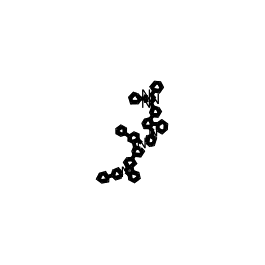 c1ccc(-c2ccc(-n3c4ccccc4c4cc(-c5ccc6c(c5)c5cc(-c7ccccc7)ccc5n6-c5cccc(-n6c7ccccc7c7c(-c8cccc(-c9nc(-c%10ccccc%10)nc(-c%10ccccc%10)n9)c8)cccc76)c5)ccc43)cc2)cc1